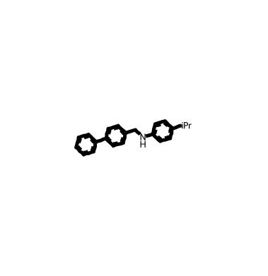 CC(C)c1ccc(NCc2ccc(-c3ccccc3)cc2)cc1